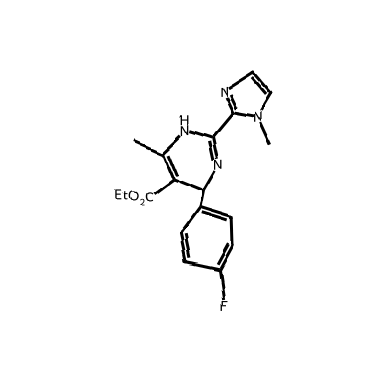 CCOC(=O)C1=C(C)NC(c2nccn2C)=NC1c1ccc(F)cc1